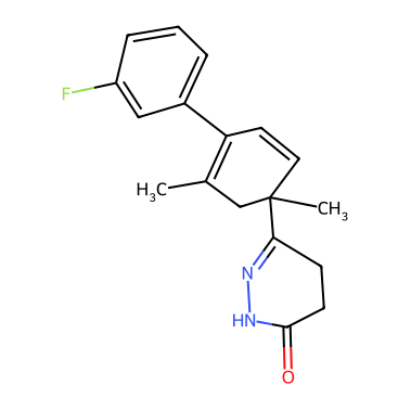 CC1=C(c2cccc(F)c2)C=CC(C)(C2=NNC(=O)CC2)C1